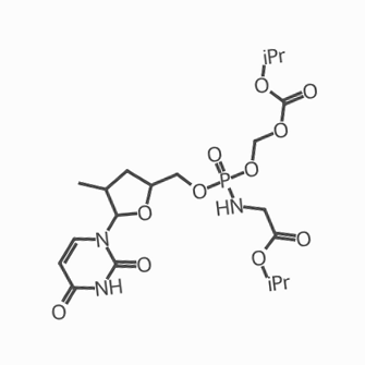 CC(C)OC(=O)CNP(=O)(OCOC(=O)OC(C)C)OCC1CC(C)C(n2ccc(=O)[nH]c2=O)O1